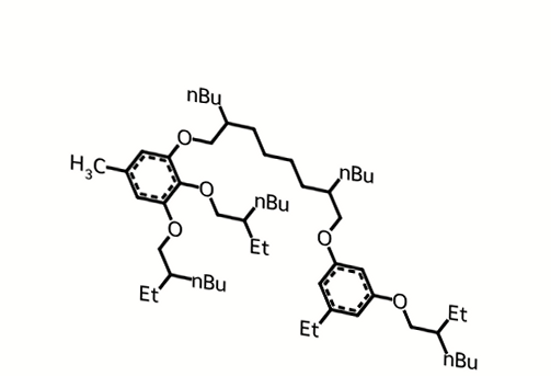 CCCCC(CC)COc1cc(CC)cc(OCC(CCCC)CCCCC(CCCC)COc2cc(C)cc(OCC(CC)CCCC)c2OCC(CC)CCCC)c1